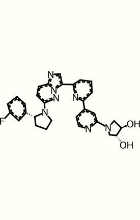 O[C@@H]1CN(c2cc(-c3cccc(-c4cnc5ccc(N6CCC[C@@H]6c6cccc(F)c6)nn45)n3)ccn2)C[C@H]1O